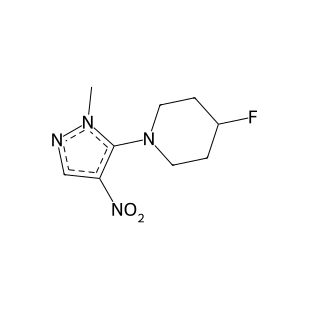 Cn1ncc([N+](=O)[O-])c1N1CCC(F)CC1